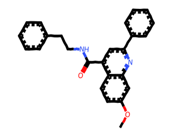 COc1ccc2c(C(=O)NCCc3ccccc3)cc(-c3ccccc3)nc2c1